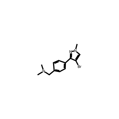 CN(C)Cc1ccc(-c2nn(C)cc2Br)cc1